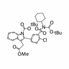 COC(=O)Cc1c(-c2ccc(Cl)c(S(=O)(=O)N(C(=O)OC(C)(C)C)C3CCCCC3)c2)n(C(=O)OC(C)(C)C)c2ccccc12